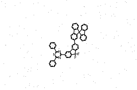 FC1(F)c2ccc(-c3ccc4c(c3)C3(c5ccccc5-c5ccccc53)c3ccccc3-4)cc2-c2cc(-c3nc(-c4ccccc4)nc(-c4ccccc4)n3)ccc21